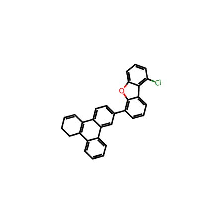 Clc1cccc2oc3c(-c4ccc5c6c(c7ccccc7c5c4)CCC=C6)cccc3c12